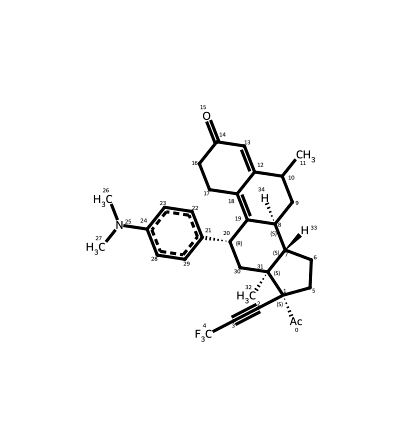 CC(=O)[C@@]1(C#CC(F)(F)F)CC[C@H]2[C@@H]3CC(C)C4=CC(=O)CCC4=C3[C@@H](c3ccc(N(C)C)cc3)C[C@@]21C